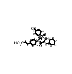 O=C(O)CCc1ccc(NC(=O)[C@H](CC2CCCCC2)NS(=O)(=O)c2ccc(Cl)cc2)cc1